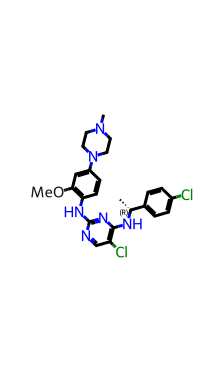 COc1cc(N2CCN(C)CC2)ccc1Nc1ncc(Cl)c(N[C@H](C)c2ccc(Cl)cc2)n1